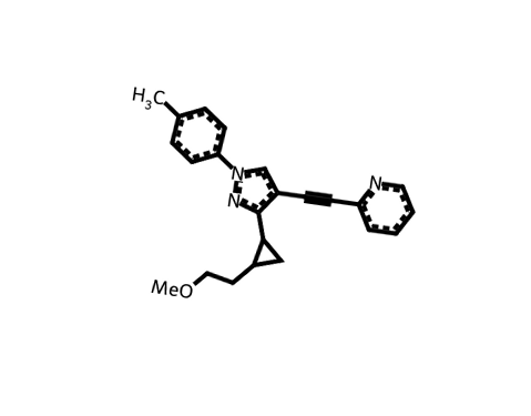 COCCC1CC1c1nn(-c2ccc(C)cc2)cc1C#Cc1ccccn1